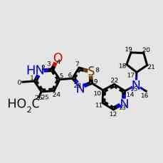 Cc1[nH]c(=O)c(-c2csc(-c3ccnc(N(C)C4CCCC4)c3)n2)cc1C(=O)O